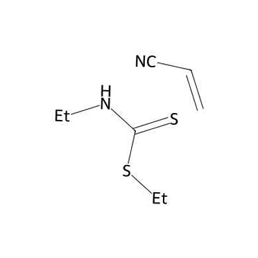 C=CC#N.CCNC(=S)SCC